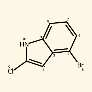 Clc1[c]c2c(Br)cccc2[nH]1